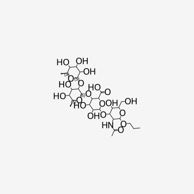 CCCOC1OC(CO)C(O)C(OC2OC(C(=O)O)C(O[C@@H]3O[C@@H](C)C(O)C(O)C3O[C@@H]3O[C@@H](C)C(O)C(O)C3O)C(O)C2O)C1NC(C)=O